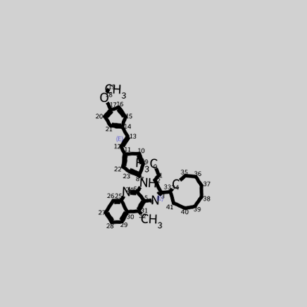 CCC/C(=N\c1c(Nc2ccc(/C=C/c3ccc(OC)cc3)cc2)nc2ccccc2c1C)C1CCCCCCCC1